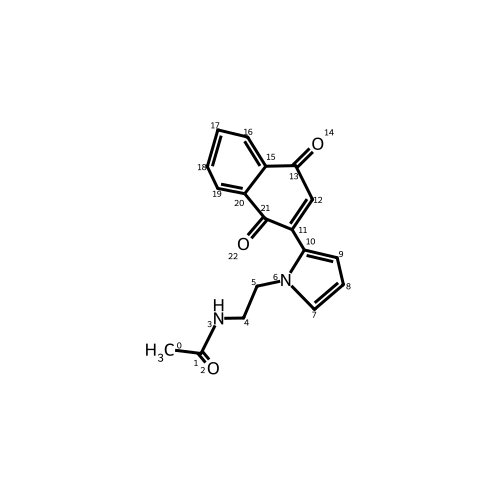 CC(=O)NCCn1cccc1C1=CC(=O)c2ccccc2C1=O